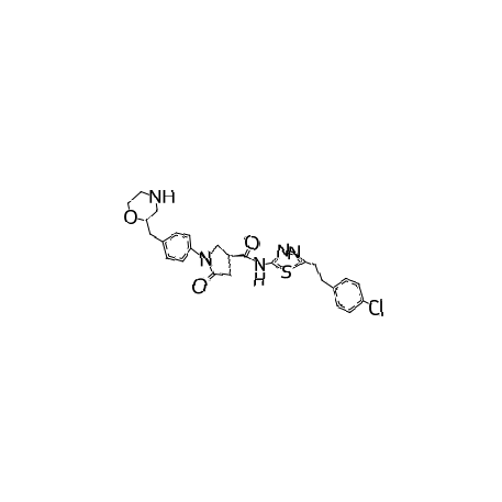 O=C(Nc1nnc(CCc2ccc(Cl)cc2)s1)[C@H]1CC(=O)N(c2ccc(CC3CNCCO3)cc2)C1